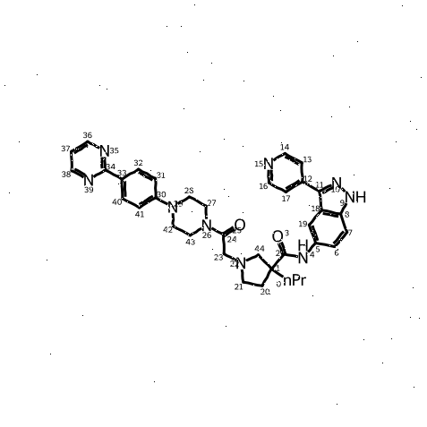 CCCC1(C(=O)Nc2ccc3[nH]nc(-c4ccncc4)c3c2)CCN(CC(=O)N2CCN(c3ccc(-c4ncccn4)cc3)CC2)C1